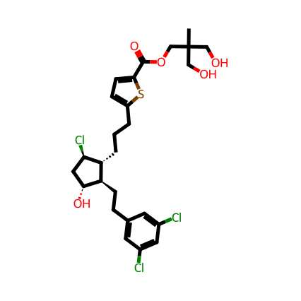 CC(CO)(CO)COC(=O)c1ccc(CCC[C@@H]2[C@@H](CCc3cc(Cl)cc(Cl)c3)[C@H](O)C[C@H]2Cl)s1